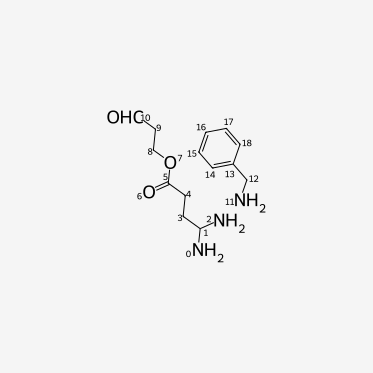 NC(N)CCC(=O)OCCC=O.NCc1ccccc1